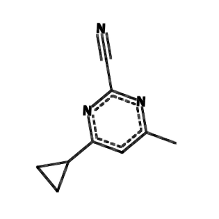 Cc1cc(C2CC2)nc(C#N)n1